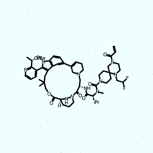 C=CC(=O)N1CCN(CC(F)F)C2(CCN(C(=O)N(C)[C@H](C(=O)N[C@H]3CN4CCC=C(C4)c4ccc5c(c4)c(c(-c4cccnc4[C@H](C)OC)n5CC)CC(C)(C)COC(=O)[C@@H]4CCCN(N4)C3=O)C(C)C)CC2)C1